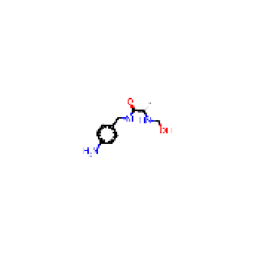 C[C@H](NCO)C(=O)NCc1ccc(N)cc1